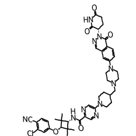 CC1(C)[C@H](NC(=O)c2cnc(N3CCC(CN4CCN(c5ccc6c(=O)n([C@H]7CCC(=O)NC7=O)ncc6c5)CC4)CC3)cn2)C(C)(C)[C@H]1Oc1ccc(C#N)c(Cl)c1